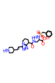 O=C(O)C(CNC(=O)C1CCCn2c(/C=C/C3CCNCC3)nnc21)NS(=O)(=O)Cc1ccccc1